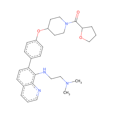 CN(C)CCNc1c(-c2ccc(OC3CCN(C(=O)C4CCCO4)CC3)cc2)ccc2cccnc12